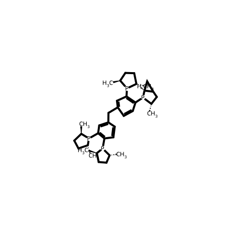 C[C@@H]1CC[C@@H](C)P1c1ccc(Cc2ccc(P3[C@@H](C)CC4C[C@@H]43)c(P3[C@@H](C)CC[C@@H]3C)c2)cc1P1[C@H](C)CC[C@H]1C